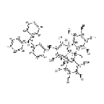 C[B-](c1c(F)c(F)c(F)c(F)c1F)(c1c(F)c(F)c(F)c(F)c1F)c1c(F)c(F)c(F)c(F)c1F.c1ccc([C+](c2ccccc2)c2ccccc2)cc1